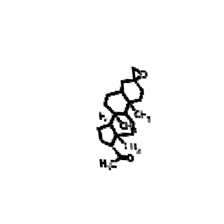 CC(=O)[C@H]1CC[C@@H]2[C@]1(C)CCC1[C@@]3(C)CC[C@]4(CO4)CC3CC[C@]12C